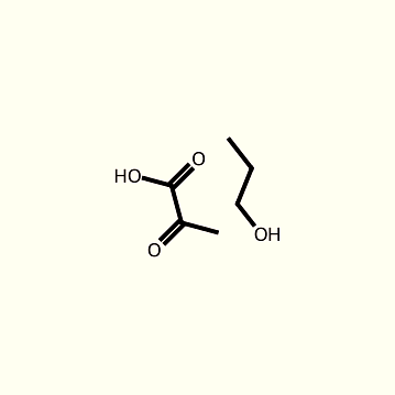 CC(=O)C(=O)O.CCCO